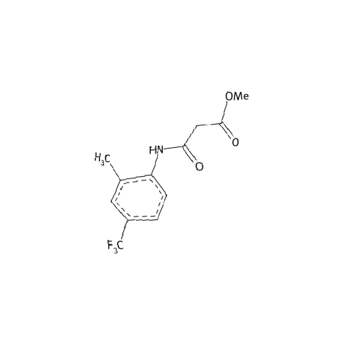 COC(=O)CC(=O)Nc1ccc(C(F)(F)F)cc1C